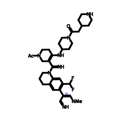 CN/C=C(\C=N)c1cc2c(cc1C(F)F)N(C(=N)C1=C(NC3CCN(C(=O)CC4CCNCC4)CC3)CCN(C(C)=O)C1)CCC2